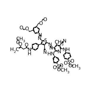 C=C(CC(=O)Nc1ccc(-c2c(N=Nc3cc(COC=O)cc(COC=O)c3)sc(N=Nc3c(Nc4ccc(S(=O)(=O)OC)cc4)nc(Nc4ccc(S(=O)(=O)OC)cc4)c(C#N)c3C)c2C#N)cc1)OOC